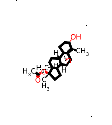 CC(=O)O[C@@]1(C)CC[C@H]2[C@@H]3CCC4=C(C)[C@@H](O)CC[C@]4(C=O)[C@H]3CC[C@@]21C